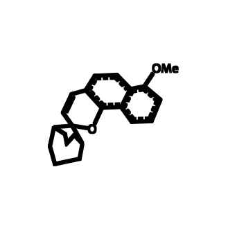 COc1cccc2c3c(ccc12)C=CC1(O3)C2CCCC1CCC2